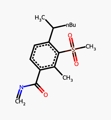 C=NC(=O)c1ccc(C(C)CCCC)c(S(C)(=O)=O)c1C